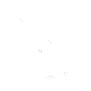 COc1cc2nc(/C=C/c3cccnc3)nc(I)c2cc1OC